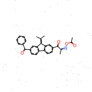 CC(=O)O/N=C(/C)C(=O)c1ccc2c(c1)C(=C(C)C)c1cc(C(=O)c3ccccc3)ccc1-2